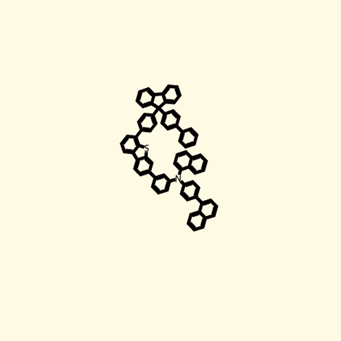 c1ccc(-c2ccc(C3(c4ccc(-c5cccc6c5sc5cc(-c7cccc(N(c8ccc(-c9cccc%10ccccc9%10)cc8)c8cccc9ccccc89)c7)ccc56)cc4)c4ccccc4-c4ccccc43)cc2)cc1